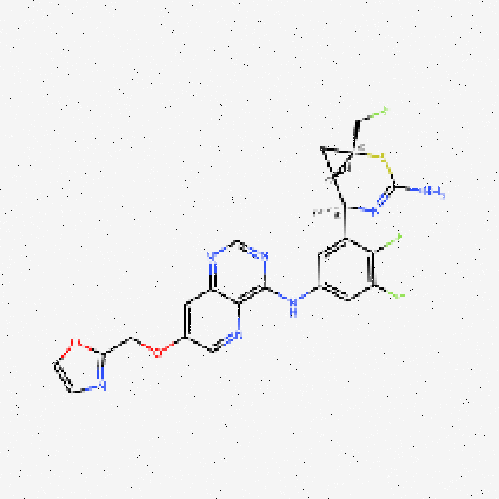 C[C@@]1(c2cc(Nc3ncnc4cc(OCc5ncco5)cnc34)cc(F)c2F)N=C(N)S[C@@]2(CF)C[C@H]21